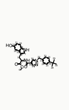 COC(=O)C(Cc1c[nH]c2ccc(O)cc12)NC(=O)c1cn(Cc2ccc(C(C)(C)C)cc2)nn1